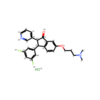 CN(C)CCCOc1ccc2c(c1)C(=O)C(c1cccnc1)C2c1cc(F)cc(F)c1.Cl